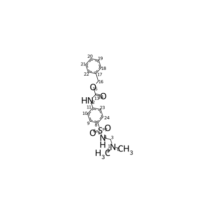 CN(C)CNS(=O)(=O)c1ccc(NC(=O)OCc2ccccc2)cc1